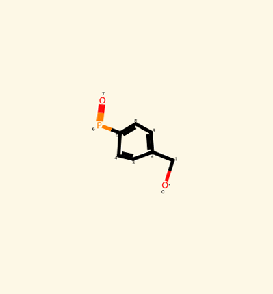 [O]Cc1ccc(P=O)cc1